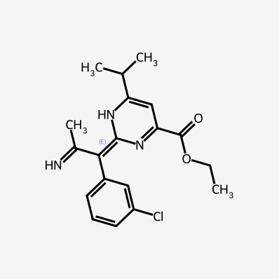 CCOC(=O)C1=N/C(=C(/C(C)=N)c2cccc(Cl)c2)NC(C(C)C)=C1